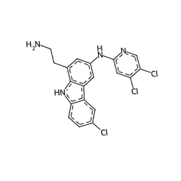 NCCc1cc(Nc2cc(Cl)c(Cl)cn2)cc2c1[nH]c1ccc(Cl)cc12